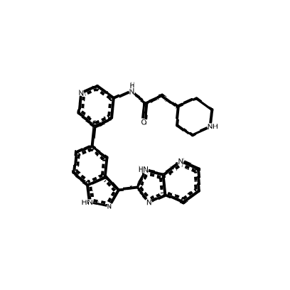 O=C(CC1CCNCC1)Nc1cncc(-c2ccc3[nH]nc(-c4nc5cccnc5[nH]4)c3c2)c1